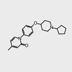 Cc1ccn(-c2ccc(OC3CCN(C4CCCC4)CC3)cc2)c(=O)c1